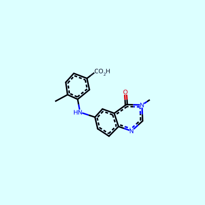 Cc1ccc(C(=O)O)cc1Nc1ccc2ncn(C)c(=O)c2c1